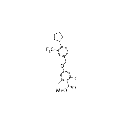 COC(=O)c1c(C)cc(OCc2ccc(C3CCCC3)c(C(F)(F)F)c2)cc1Cl